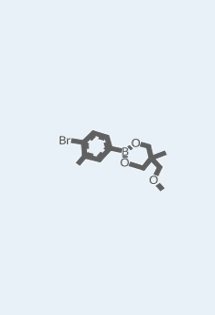 COCC1(C)COB(c2ccc(Br)c(C)c2)OC1